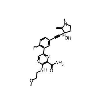 C=C1N(C)CC[C@@]1(O)C#Cc1ccc(F)c(-c2cnc(NCCOC)c(C(N)=O)n2)c1